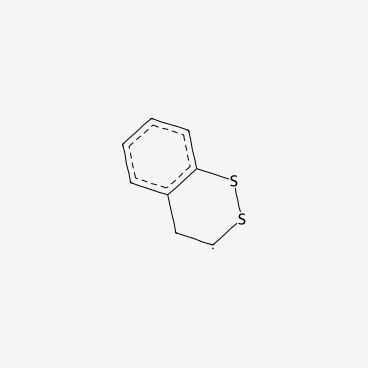 [CH]1Cc2ccccc2SS1